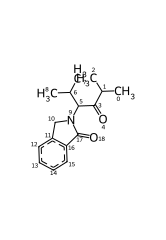 CC(C)C(=O)C(C(C)C)N1Cc2ccccc2C1=O